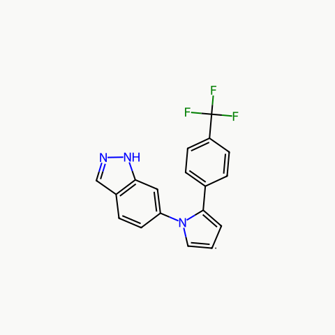 FC(F)(F)c1ccc(-c2c[c]cn2-c2ccc3cn[nH]c3c2)cc1